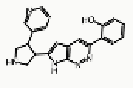 Oc1ccccc1-c1cc2cc(C3CNCC3c3cccnc3)[nH]c2nn1